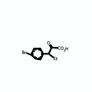 CCC(C(=O)C(=O)O)c1ccc(Br)cc1